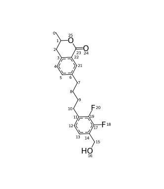 CC1Cc2ccc(CCCCc3ccc(CO)c(F)c3F)cc2C(=O)O1